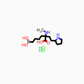 CNC(CCCCB(O)O)(CCC1CCCN1)C(=O)O.Cl.Cl